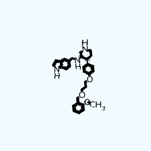 COc1ccccc1COCCCOc1ccc([C@@H]2CCNC[C@@H]2NCc2ccc3[nH]ccc3c2)cc1